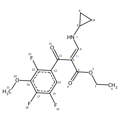 CCOC(=O)/C(=C/NC1CC1)C(=O)c1cc(F)c(F)c(OC)c1F